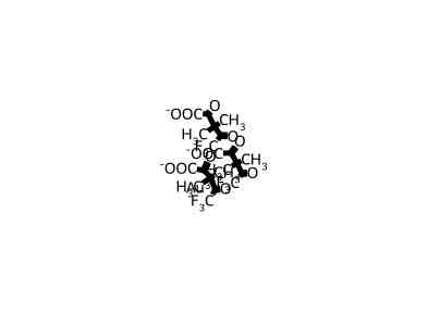 CC(C)(C(=O)C(=O)[O-])C(=O)C(F)(F)F.CC(C)(C(=O)C(=O)[O-])C(=O)C(F)(F)F.CC(C)(C(=O)C(=O)[O-])C(=O)C(F)(F)F.[Au+3]